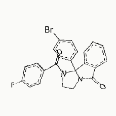 O=C(c1ccc(F)cc1)N1CCN2C(=O)c3ccccc3C12c1ccc(Br)cc1